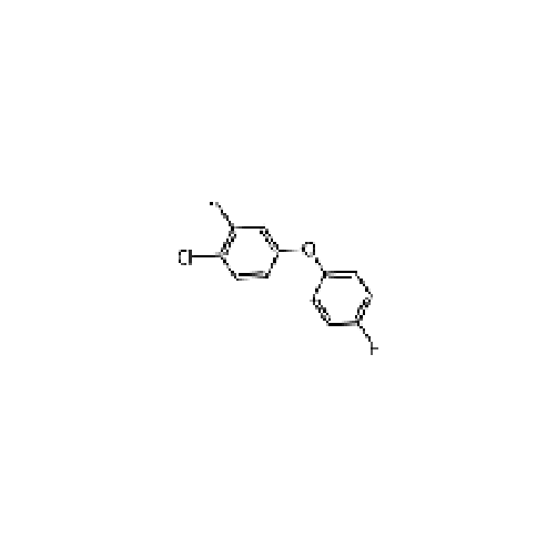 [CH2]c1cc(Oc2ccc(F)cc2)ccc1Cl